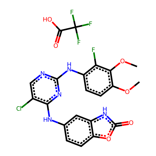 COc1ccc(Nc2ncc(Cl)c(Nc3ccc4oc(=O)[nH]c4c3)n2)c(F)c1OC.O=C(O)C(F)(F)F